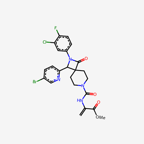 C=C(NC(=O)N1CCC2(CC1)C(=O)N(c1ccc(F)c(Cl)c1)C2c1ccc(Br)cn1)C(=O)OC